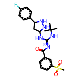 CC(C)(C)N/C(=N/C(=O)c1cccc(S(C)(=O)=O)c1)NC1CC(c2ccc(F)cc2)NN1